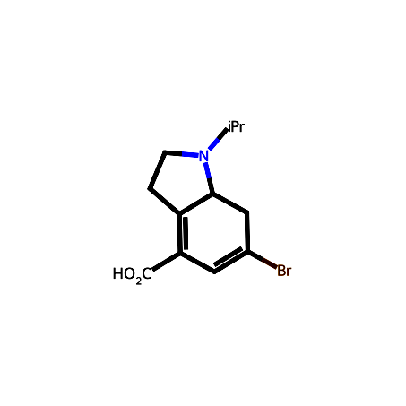 CC(C)N1CCC2=C(C(=O)O)C=C(Br)CC21